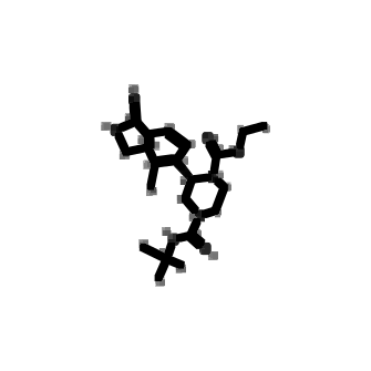 CCOC(=O)N1CCN(C(=O)OC(C)(C)C)C[C@H]1c1ccc2c(c1C)COC2=O